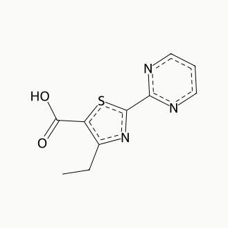 CCc1nc(-c2ncccn2)sc1C(=O)O